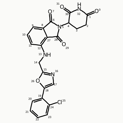 O=C1CCC(N2C(=O)c3cccc(NCc4ncc(-c5ccccc5Cl)o4)c3C2=O)C(=O)N1